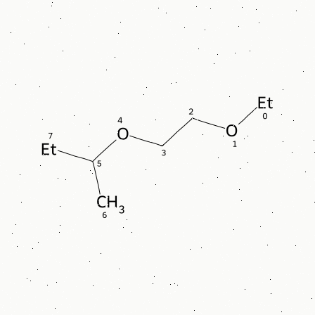 [CH2]COCCOC(C)CC